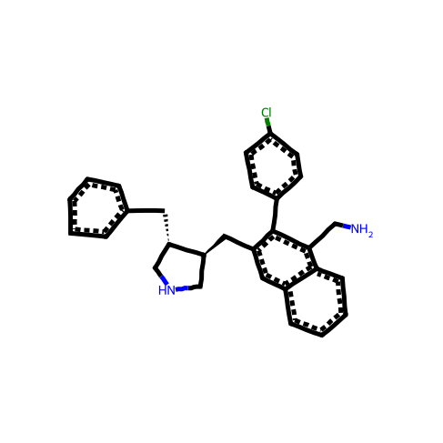 NCc1c(-c2ccc(Cl)cc2)c(C[C@H]2CNC[C@@H]2Cc2ccccc2)cc2ccccc12